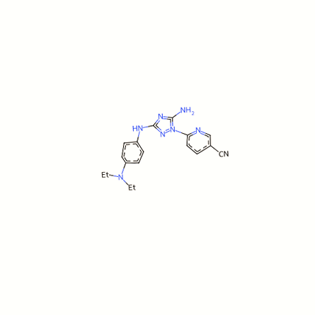 CCN(CC)c1ccc(Nc2nc(N)n(-c3ccc(C#N)cn3)n2)cc1